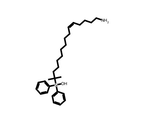 CC(C)(CCCCCCCC/C=C\CCCCN)[Si](O)(c1ccccc1)c1ccccc1